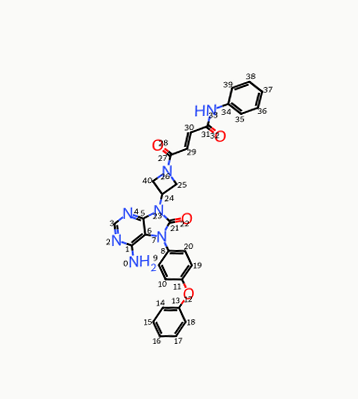 Nc1ncnc2c1n(-c1ccc(Oc3ccccc3)cc1)c(=O)n2C1CN(C(=O)C=CC(=O)Nc2ccccc2)C1